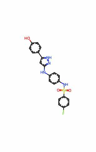 O=S(=O)(Nc1ccc(Nc2cc(-c3ccc(O)cc3)[nH]n2)cc1)c1ccc(F)cc1